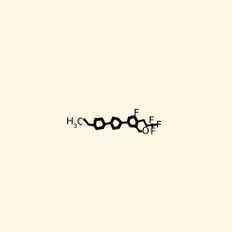 CCCc1ccc(-c2ccc(-c3cc(F)c4c(c3)COC(C(F)(F)F)C4)cc2)cc1